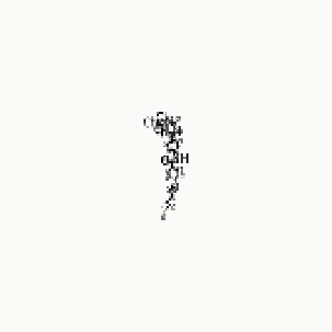 CCCCCCOc1ccc(C(=O)Nc2ccc(-c3nc(C)nc(C(Cl)(Cl)Cl)n3)cc2)cc1